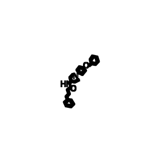 O=C(CCCc1ccccc1)NC1CCN(c2ccc(OCc3ccccc3)cc2)CC1